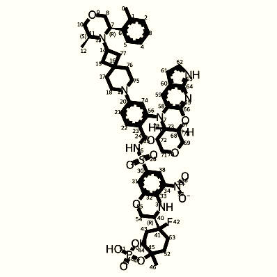 Cc1ccccc1[C@@H]1COC[C@H](C)N1C1CC2(CCN(c3ccc(C(=O)NS(=O)(=O)c4cc5c(c([N+](=O)[O-])c4)N[C@@H](C4(F)CCC(C)(OP(=O)(O)O)CC4)CO5)c(N4c5cc6cc[nH]c6nc5O[C@H]5COCC[C@@H]54)c3)CC2)C1